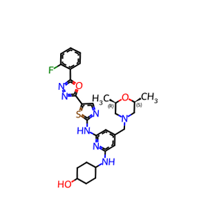 C[C@@H]1CN(Cc2cc(Nc3ncc(-c4nnc(-c5ccccc5F)o4)s3)nc(NC3CCC(O)CC3)c2)C[C@H](C)O1